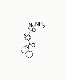 Nc1ncc(-c2cc(C(=O)N3CCCC4CCCC=C43)cs2)o1